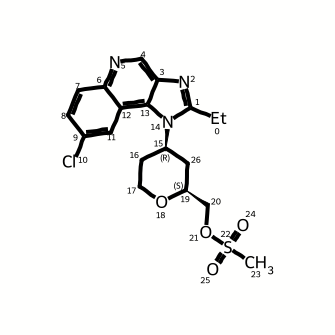 CCc1nc2cnc3ccc(Cl)cc3c2n1[C@@H]1CCO[C@H](COS(C)(=O)=O)C1